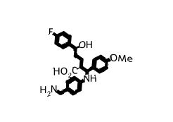 COc1ccc(C(Nc2ccc(CN)cc2)[C@@H](CC[C@H](O)c2ccc(F)cc2)C(=O)O)cc1